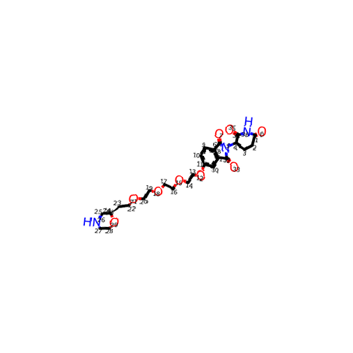 O=C1CCC(N2C(=O)c3ccc(OCCOCCOCCOCC[C@@H]4CNCCO4)cc3C2=O)C(=O)N1